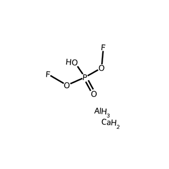 O=P(O)(OF)OF.[AlH3].[CaH2]